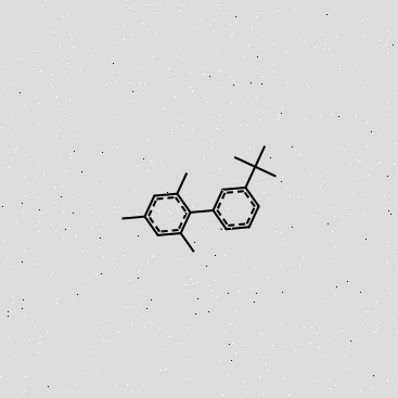 Cc1cc(C)c(-c2[c]ccc(C(C)(C)C)c2)c(C)c1